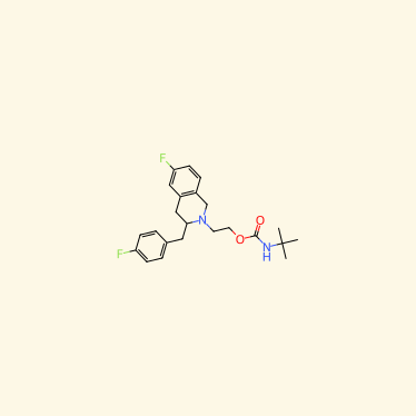 CC(C)(C)NC(=O)OCCN1Cc2ccc(F)cc2CC1Cc1ccc(F)cc1